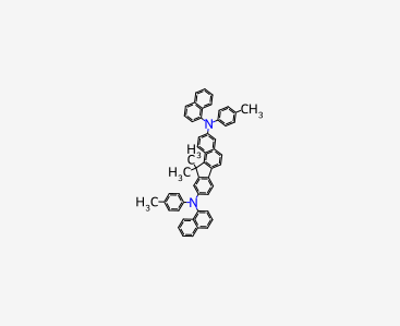 Cc1ccc(N(c2ccc3c(c2)C(C)(C)c2c-3ccc3cc(N(c4ccc(C)cc4)c4cccc5ccccc45)ccc23)c2cccc3ccccc23)cc1